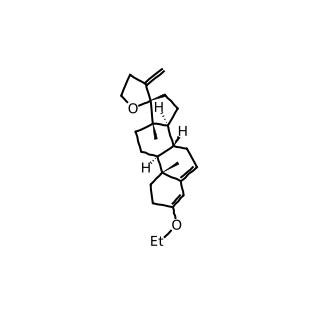 C=C1CCO[C@]12CC[C@H]1[C@@H]3CC=C4C=C(OCC)CC[C@]4(C)[C@H]3CC[C@@]12C